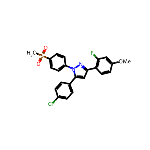 COc1ccc(-c2cc(-c3ccc(Cl)cc3)n(-c3ccc(S(C)(=O)=O)cc3)n2)c(F)c1